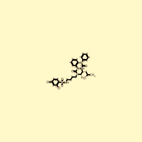 CC(C)C[C@H](CN(CCCCNS(=O)(=O)c1ccc(Cl)cc1Cl)C(=O)Nc1ccccc1)NC(=O)Nc1ccccc1